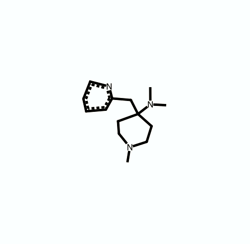 CN1CCC(Cc2ccccn2)(N(C)C)CC1